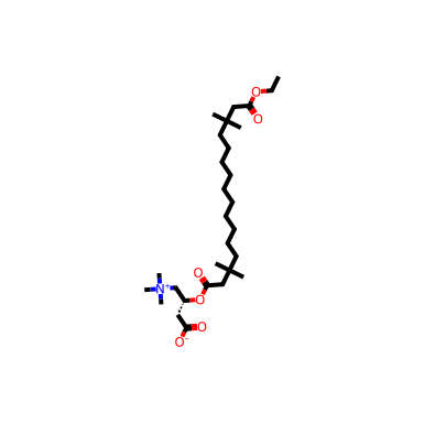 CCOC(=O)CC(C)(C)CCCCCCCCCCC(C)(C)CC(=O)O[C@H](CC(=O)[O-])C[N+](C)(C)C